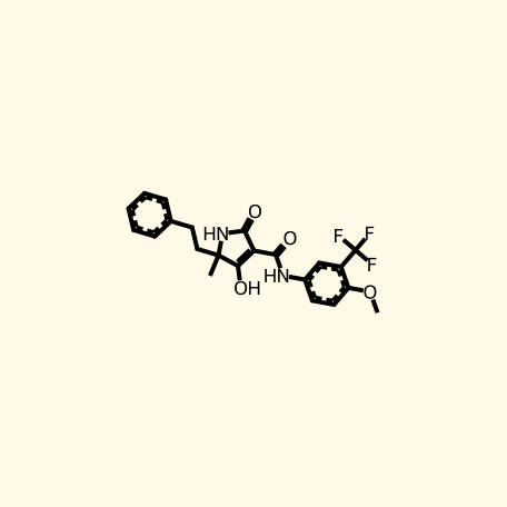 COc1ccc(NC(=O)C2=C(O)C(C)(CCc3ccccc3)NC2=O)cc1C(F)(F)F